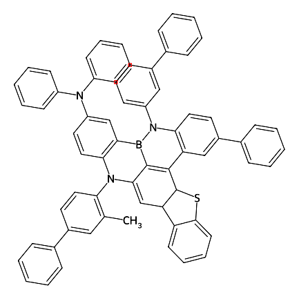 Cc1cc(-c2ccccc2)ccc1N1C2=CC3c4ccccc4SC3C3=C2B(c2cc(N(c4ccccc4)c4ccccc4)ccc21)N(c1cccc(-c2ccccc2)c1)c1ccc(-c2ccccc2)cc13